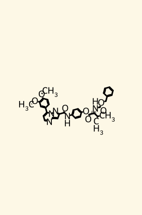 COc1ccc(-c2ccnc3cc(C(=O)Nc4ccc(OC(=O)[C@@H](NC(=O)OCc5ccccc5)C(C)C)cc4)nn23)cc1OC